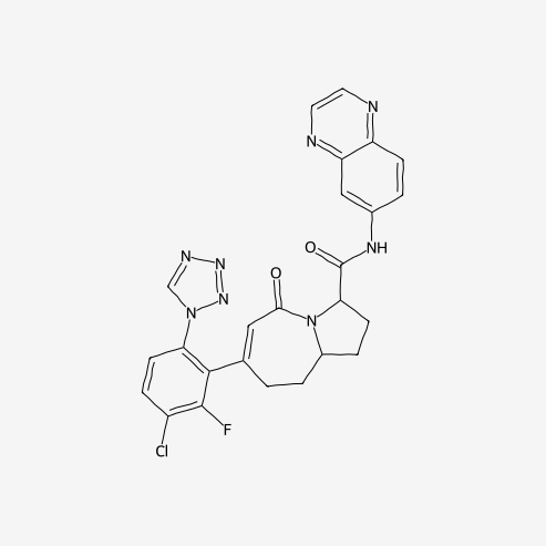 O=C(Nc1ccc2nccnc2c1)C1CCC2CCC(c3c(-n4cnnn4)ccc(Cl)c3F)=CC(=O)N21